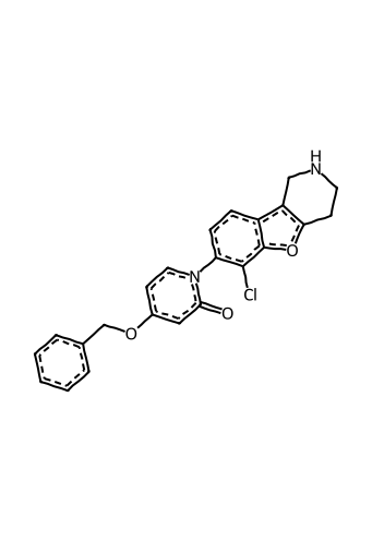 O=c1cc(OCc2ccccc2)ccn1-c1ccc2c3c(oc2c1Cl)CCNC3